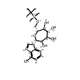 CC(C)(C)[Si](C)(C)OC[C@H]1O[C@@H](n2cnc3c(Cl)ncnc32)[C@H](O)[C@H](O)[C@@H](O)[C@@H]1O